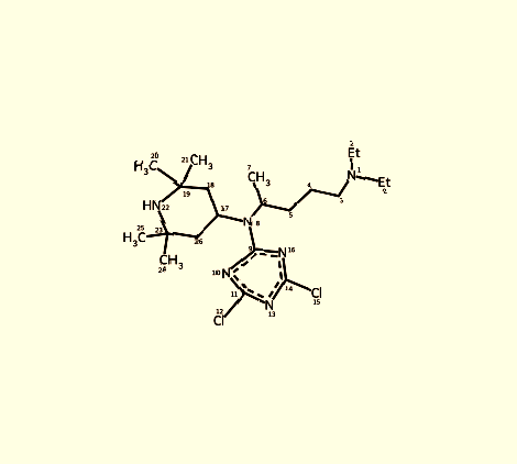 CCN(CC)CCCC(C)N(c1nc(Cl)nc(Cl)n1)C1CC(C)(C)NC(C)(C)C1